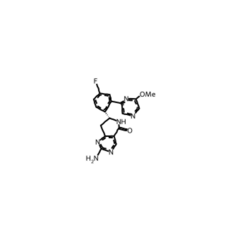 COc1cncc(-c2cc(F)ccc2[C@H]2Cc3nc(N)ncc3C(=O)N2)n1